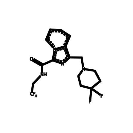 O=C(NCC(F)(F)F)c1nc(CN2CCC(F)(F)CC2)c2ccccn12